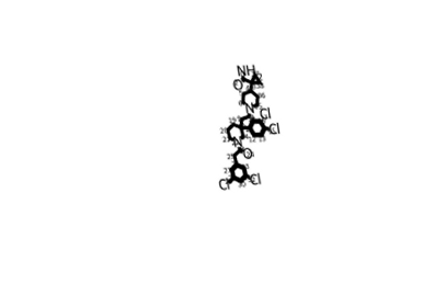 NC(=O)C1(C2CCN(CCC3(c4ccc(Cl)c(Cl)c4)CCCN(C(=O)Cc4cc(Cl)cc(Cl)c4)C3)CC2)CC1